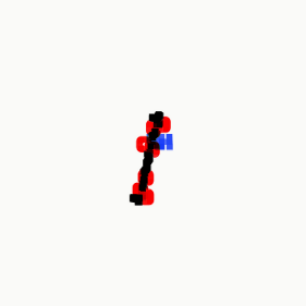 C=C(C)C(=O)OCCNC(=O)OCCCCCOCCOC(=O)C(=C)C